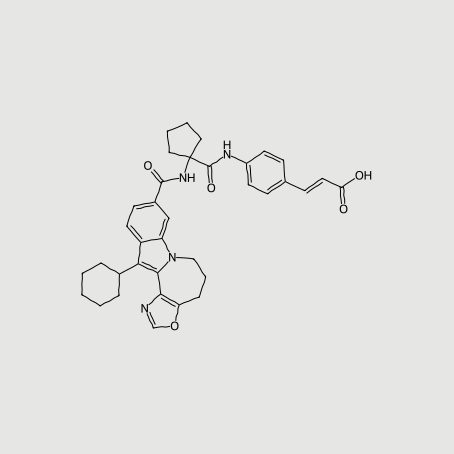 O=C(O)/C=C/c1ccc(NC(=O)C2(NC(=O)c3ccc4c(C5CCCCC5)c5n(c4c3)CCCc3ocnc3-5)CCCC2)cc1